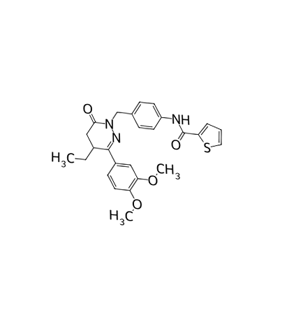 CCC1CC(=O)N(Cc2ccc(NC(=O)c3cccs3)cc2)N=C1c1ccc(OC)c(OC)c1